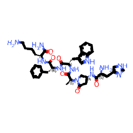 C[C@@H](C(=O)N[C@@H](Cc1c[nH]c2ccccc12)C(=O)N[C@H](Cc1ccccc1)C(=O)N[C@@H](CCCCN)C(N)=O)N1C[C@H](NC(=O)[C@@H](N)Cc2c[nH]cn2)CC1=O